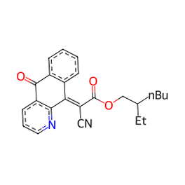 CCCCC(CC)COC(=O)/C(C#N)=C1\c2ccccc2C(=O)c2cccnc21